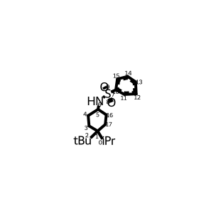 CC(C)C1(C(C)(C)C)CCC(NS(=O)(=O)c2ccccc2)CC1